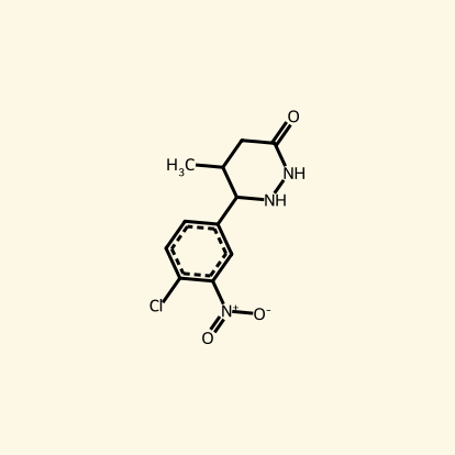 CC1CC(=O)NNC1c1ccc(Cl)c([N+](=O)[O-])c1